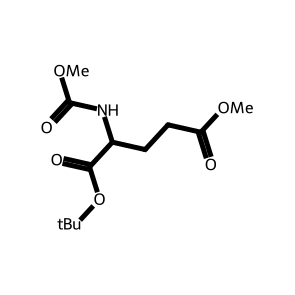 COC(=O)CCC(NC(=O)OC)C(=O)OC(C)(C)C